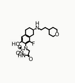 O=C1CN(c2c(O)cc3c(c2F)C[C@H](NCCC2CCOCC2)CC3)S(=O)(=O)N1